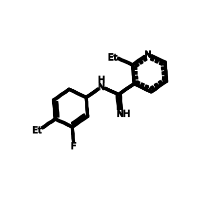 CCC1=CCC(NC(=N)c2cccnc2CC)C=C1F